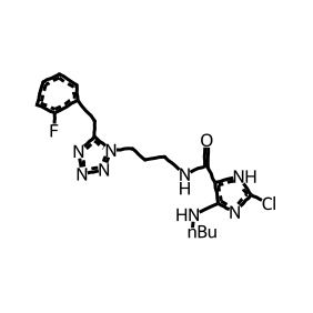 CCCCNc1nc(Cl)[nH]c1C(=O)NCCCn1nnnc1Cc1ccccc1F